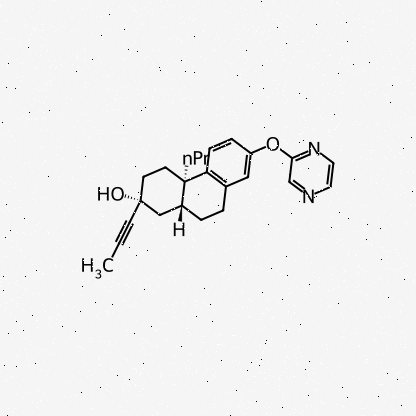 CC#C[C@@]1(O)CC[C@@]2(CCC)c3ccc(Oc4cnccn4)cc3CC[C@@H]2C1